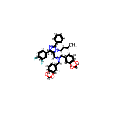 CCCCn1c(-c2ccccc2)nc(-c2ccc(F)c(F)c2)c1CN(Cc1ccc2c(c1)OCO2)Cc1ccc2c(c1)OCO2